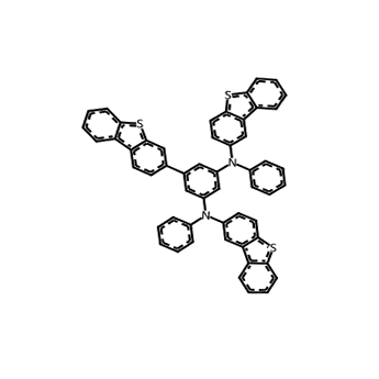 c1ccc(N(c2cc(-c3ccc4c(c3)sc3ccccc34)cc(N(c3ccccc3)c3ccc4sc5ccccc5c4c3)c2)c2ccc3sc4ccccc4c3c2)cc1